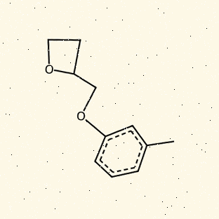 Cc1cccc(OCC2CCO2)c1